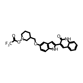 O=C(ON1CCCC(COc2ccc3[nH]c(-c4cc5ccccc5[nH]c4=O)cc3c2)C1)C(F)(F)F